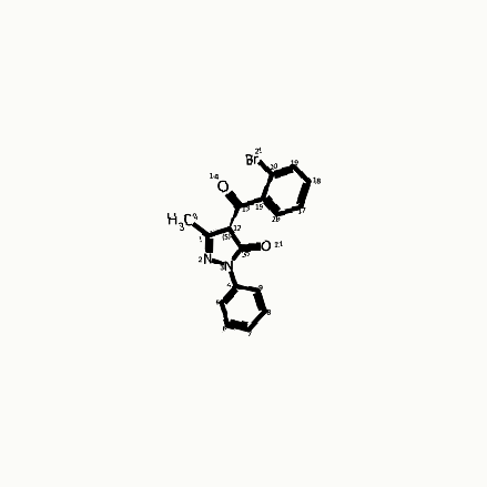 CC1=NN(c2ccccc2)C(=O)[C@@H]1C(=O)c1ccccc1Br